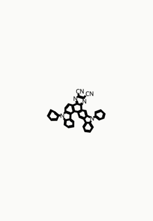 N#Cc1nc2c3cc4c(cc3c3c(ccc5c3c3ccccc3n5-c3ccccc3)c2nc1C#N)c1ccccc1n4-c1ccccc1